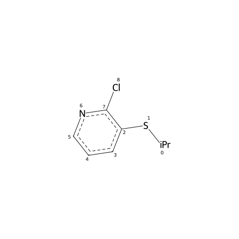 CC(C)Sc1cccnc1Cl